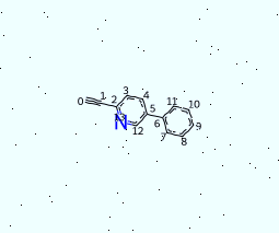 C#Cc1ccc(-c2ccccc2)cn1